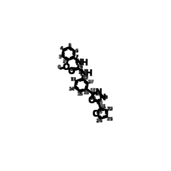 COc1ccccc1NC(=O)Nc1cccc(-c2nnc(-c3ccco3)o2)c1